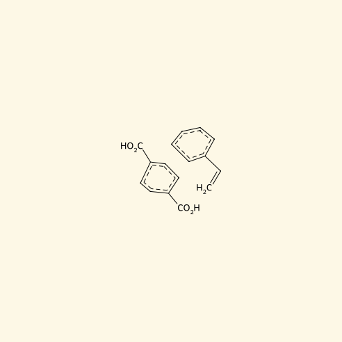 C=Cc1ccccc1.O=C(O)c1ccc(C(=O)O)cc1